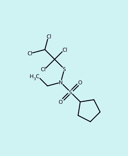 CCN(SC(Cl)(Cl)C(Cl)Cl)S(=O)(=O)C1CCCC1